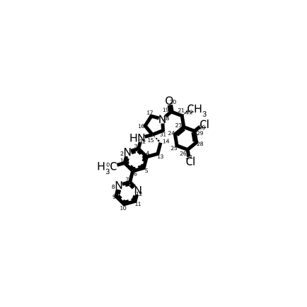 Cc1nc2c(cc1-c1ncccn1)CC[C@@]1(CCN(C(=O)[C@H](C)C3=CCC(Cl)C=C3Cl)C1)N2